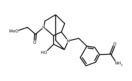 COCC(=O)N1CC2CC3C(O)C1C(C2)N3Cc1cccc(C(N)=O)c1